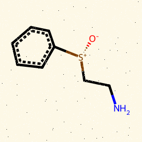 NCC[S@@+]([O-])c1ccccc1